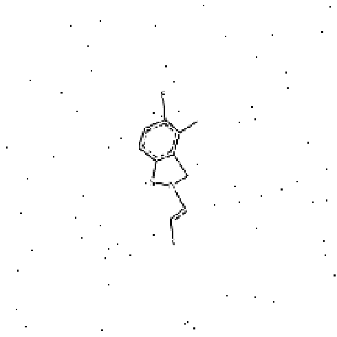 CC=CN1Cc2c(ccc(F)c2C)S1